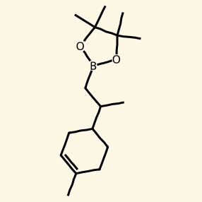 CC1=CCC(C(C)CB2OC(C)(C)C(C)(C)O2)CC1